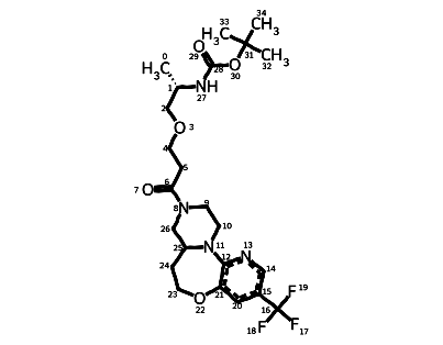 C[C@@H](COCCC(=O)N1CCN2c3ncc(C(F)(F)F)cc3OCCC2C1)NC(=O)OC(C)(C)C